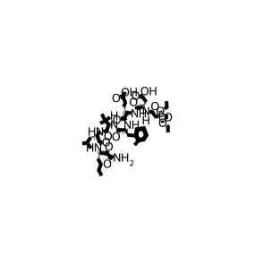 CCCC[C@H](NC(=O)[C@H](CC(C)C)NC(=O)[C@@H](NC(=O)[C@H](Cc1ccccc1C)NC(=O)[C@H](CCC(=O)O)NC(=O)[C@H](CC(=O)O)NC(=O)CP(=O)(OCC)OCC)C(C)(C)C)C(=O)C(N)=O